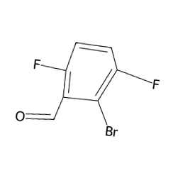 O=Cc1c(F)ccc(F)c1Br